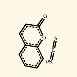 N=C=S.O=c1ccc2ccccc2o1